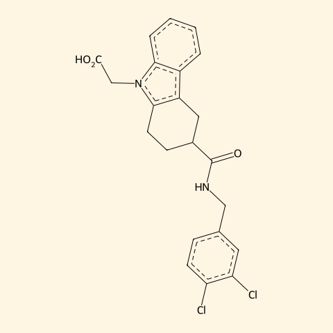 O=C(O)Cn1c2c(c3ccccc31)CC(C(=O)NCc1ccc(Cl)c(Cl)c1)CC2